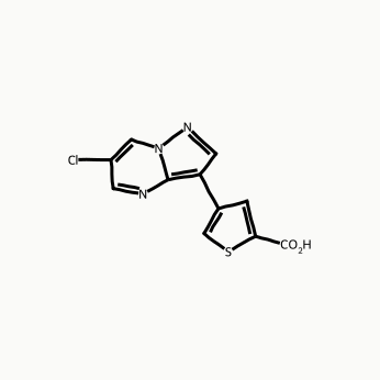 O=C(O)c1cc(-c2cnn3cc(Cl)cnc23)cs1